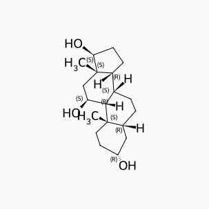 C[C@]12CC[C@@H](O)C[C@H]1CC[C@@H]1[C@H]2[C@@H](O)C[C@@]2(C)[C@@H]1CC[C@@H]2O